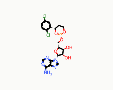 Nc1ncnc2c1ncn2[C@@H]1O[C@H](CO[P@]2OCC[C@@H](c3cc(Cl)ccc3Cl)O2)[C@@H](O)[C@H]1O